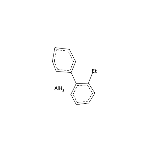 CCc1ccccc1-c1ccccc1.[AlH3]